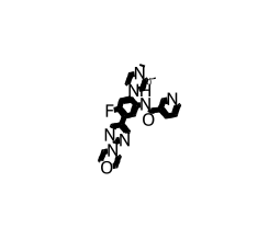 C[C@@H]1CN(c2cc(F)c(-c3cnc(N4CCOCC4)nc3)cc2NC(=O)c2cccnc2)CCN1C